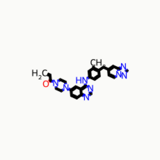 C=CC(=O)N1CCN(c2ccc3ncnc(Nc4ccc(Cc5ccn6ncnc6c5)c(C)c4)c3c2)CC1